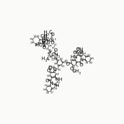 COCCOCCOCCN(CC(C)(C)SSCCC(C(=O)NC(C)(C)C1CCCCCC1)S(=O)(=O)O)c1cc(COc2cc3c(cc2OC)C(=O)N2c4ccccc4C[C@H]2CN3)cc(COc2cc3c(cc2OC)C(=O)N2c4ccccc4C[C@H]2C(S(=O)(=O)O)N3)c1